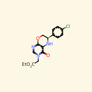 CCOC(=O)Cn1cnc2c(c1=O)N[C@H](c1ccc(Cl)cc1)CO2